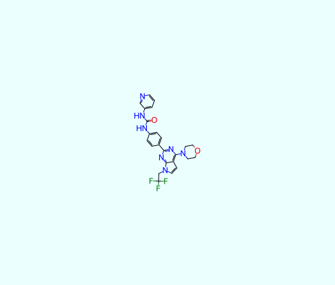 O=C(Nc1ccc(-c2nc(N3CCOCC3)c3ccn(CC(F)(F)F)c3n2)cc1)Nc1cccnc1